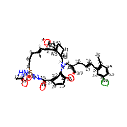 CO[C@H]1/C=C/CCCS(=O)(NC(C)=O)=NC(=O)c2ccc3c(c2)N(C[C@@H](CCCc2cc(Cl)ccc2C)CO3)C[C@@H]2CC[C@H]21